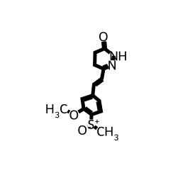 COc1cc(C=CC2=NNC(=O)CC2)ccc1[S+](C)[O-]